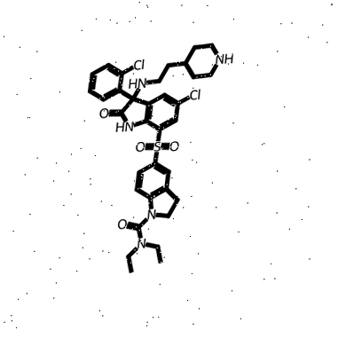 CCN(CC)C(=O)N1CCc2cc(S(=O)(=O)c3cc(Cl)cc4c3NC(=O)C4(NCCC3CCNCC3)c3ccccc3Cl)ccc21